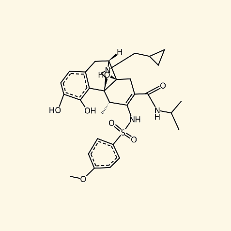 COc1ccc(S(=O)(=O)NC2=C(C(=O)NC(C)C)C[C@@]3(O)[C@H]4Cc5ccc(O)c(O)c5[C@@]3(CCN4CC3CC3)[C@H]2C)cc1